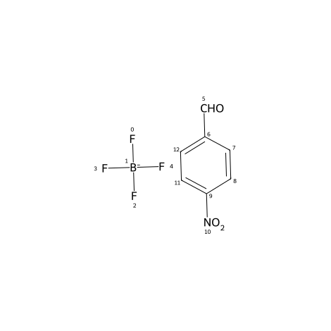 F[B-](F)(F)F.O=Cc1ccc([N+](=O)[O-])cc1